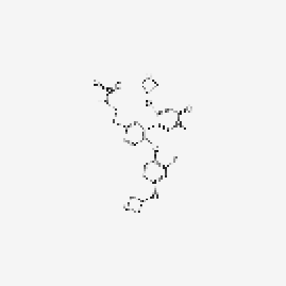 Cn1cc(-c2cc(CCN[SH](=O)=O)ccc2Oc2ccc(OC3COC3)cc2F)c(OC2COC2)cc1=O